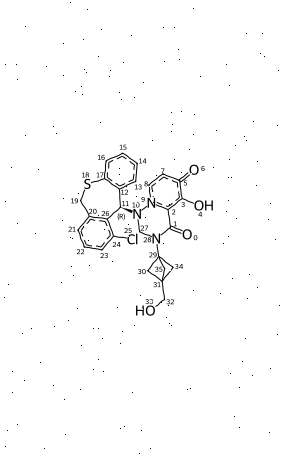 O=C1c2c(O)c(=O)ccn2N([C@@H]2c3ccccc3SCc3cccc(Cl)c32)CN1C12CC(CO)(C1)C2